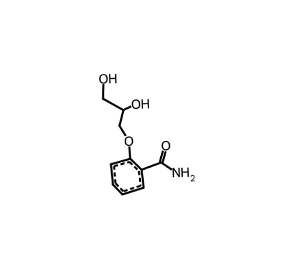 NC(=O)c1ccccc1OCC(O)CO